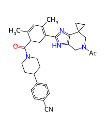 CC(=O)N1Cc2[nH]c(C3=C(C)C=C(C)C(C(=O)N4CCC(c5ccc(C#N)cc5)CC4)C3)nc2C2(CC2)C1